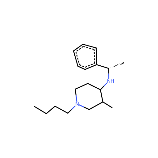 CCCCN1CCC(N[C@@H](C)c2ccccc2)C(C)C1